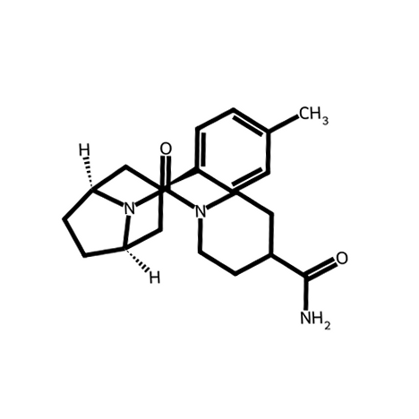 Cc1ccc([C@H]2C[C@H]3CC[C@@H](C2)N3C(=O)N2CCC(C(N)=O)CC2)cc1